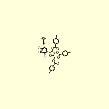 Cc1ccc(C(=O)OC[C@H]2O[C@@H](n3cc(C#C[Si](C)(C)C)c(=O)[nH]c3=O)[C@@H](OC(=O)c3ccc(C)cc3)[C@@H]2OC(=O)c2ccc(C)cc2)cc1